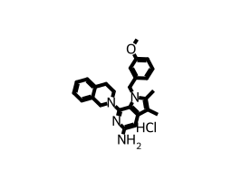 COc1cccc(Cn2c(C)c(C)c3cc(N)nc(N4CCc5ccccc5C4)c32)c1.Cl